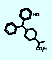 CCOC(=O)C(C)N1CCN(C(c2ccccc2)c2ccccc2)CC1.Cl